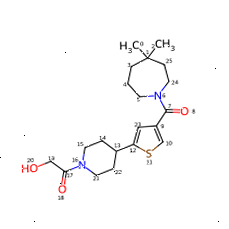 CC1(C)CCCN(C(=O)c2csc(C3CCN(C(=O)CO)CC3)c2)CC1